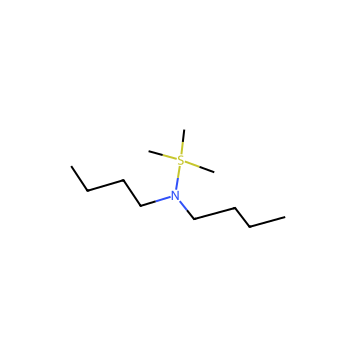 CCCCN(CCCC)S(C)(C)C